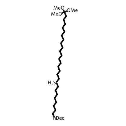 CCCCCCCCCCCCCCCCCC[SiH2]CCCCCCCCCCCCCCCCCC(OC)(OC)OC